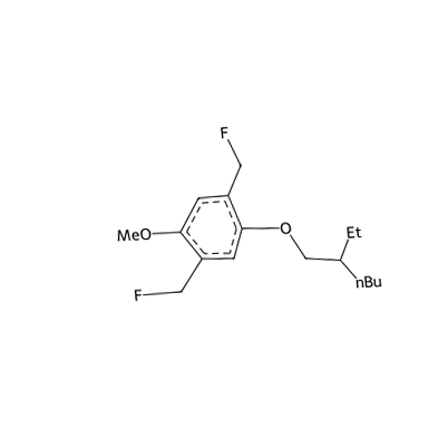 CCCCC(CC)COc1cc(CF)c(OC)cc1CF